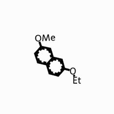 CCOc1ccc2ccc(OC)cc2c1